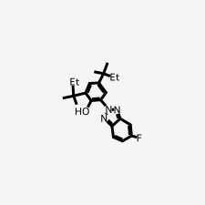 CCC(C)(C)c1cc(-n2nc3ccc(F)cc3n2)c(O)c(C(C)(C)CC)c1